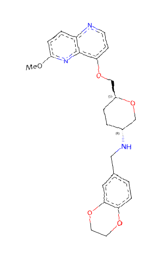 COc1ccc2nccc(OC[C@@H]3CC[C@@H](NCc4ccc5c(c4)OCCO5)CO3)c2n1